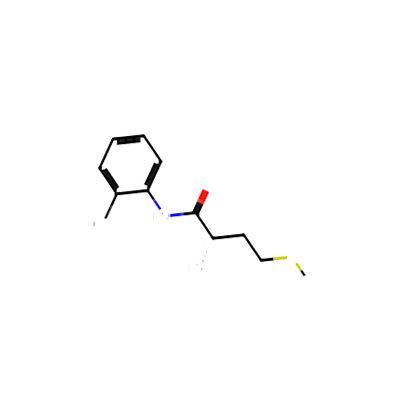 CC(C)c1ccccc1NC(=O)[C@@H](N)CCSC(F)(F)F